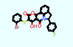 O=c1oc2c(c(O)c1Sc1ccccc1Br)c(=O)n1c3c(cccc23)CC1c1ccc(F)cc1